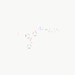 CNC(=O)/C=C/CN1CC(Oc2ccc(Oc3c(C(=O)c4ccccc4)sc4cc(O)ccc34)cc2)C1